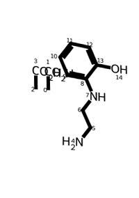 CC(=O)O.CC(=O)O.NCCNc1ccccc1O